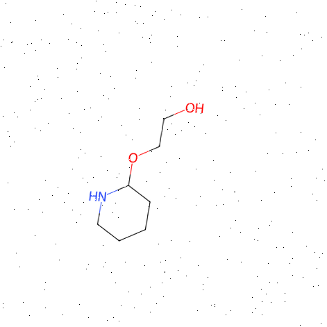 OCCOC1CCCCN1